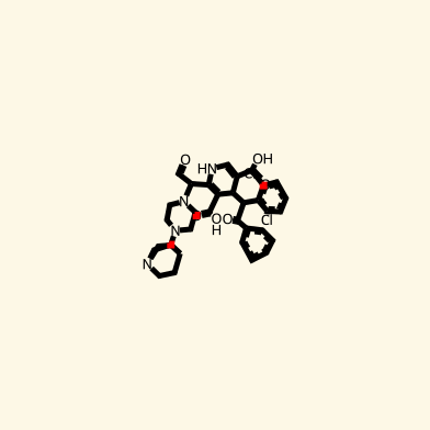 O=CC(C1=C(C(=O)O)C(C(C(=O)c2ccccc2)c2c(Cl)cccc2Cl)C(C(=O)O)=CN1)N1CCN(C2CN3CCC2CC3)CC1